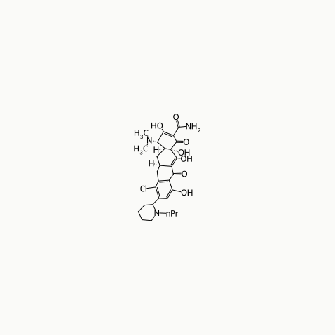 CCCN1CCCCC1c1cc(O)c2c(c1Cl)C[C@H]1C[C@H]3[C@H](N(C)C)C(O)=C(C(N)=O)C(=O)[C@@]3(O)C(O)=C1C2=O